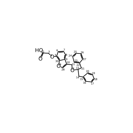 O=C(O)COc1cccc2c(COC(Cc3ccccc3)Cc3ccccc3)coc12